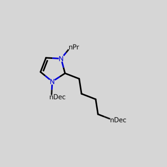 CCCCCCCCCCCCCCC1N(CCC)C=CN1CCCCCCCCCC